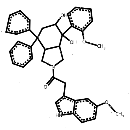 COc1ccc2[nH]cc(CC(=O)N3CC4C(C3)C(O)(c3ccccc3OC)C(O)CC4(c3ccccc3)c3ccccc3)c2c1